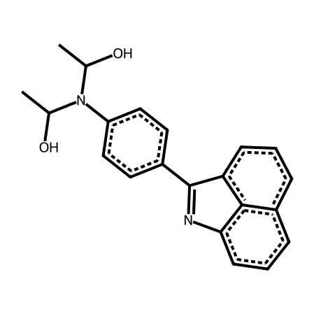 CC(O)N(c1ccc(C2=Nc3cccc4cccc2c34)cc1)C(C)O